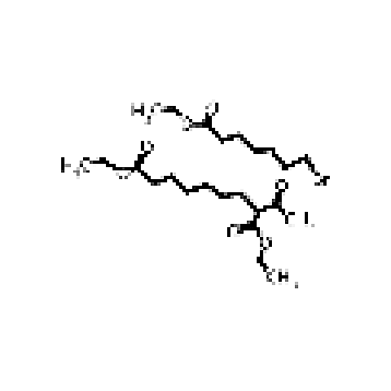 CCOC(=O)CCCCCCBr.CCOC(=O)CCCCCCC(C(C)=O)C(=O)OCC